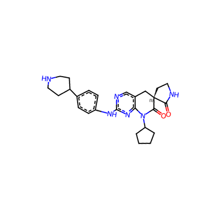 O=C1NCC[C@@]12Cc1cnc(Nc3ccc(C4CCNCC4)cc3)nc1N(C1CCCC1)C2=O